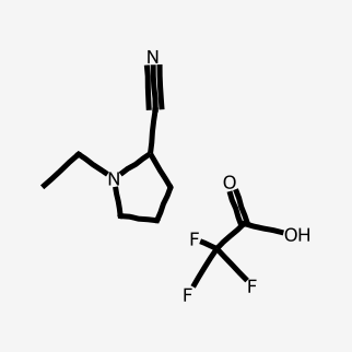 CCN1CCCC1C#N.O=C(O)C(F)(F)F